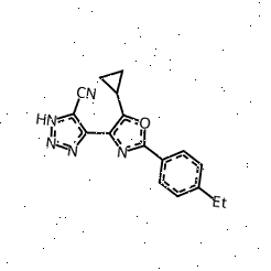 CCc1ccc(-c2nc(-c3nn[nH]c3C#N)c(C3CC3)o2)cc1